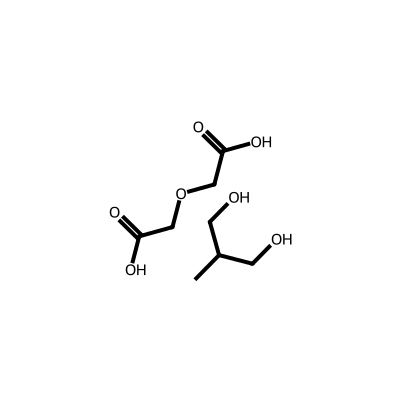 CC(CO)CO.O=C(O)COCC(=O)O